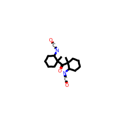 CC1(C(=O)C2(C)CCCCC2N=C=O)CCCCC1N=C=O